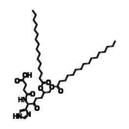 CCCCCCCCCCCCCCCC(=O)OCC(CCC(=O)C(NC(=O)CCC(=O)O)c1c[nH]cn1)OC(=O)CCCCCCCCCCCCCCC